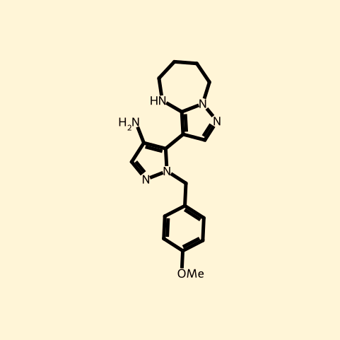 COc1ccc(Cn2ncc(N)c2-c2cnn3c2NCCCC3)cc1